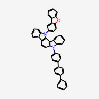 c1ccc(-c2ccc(-c3ccc(-n4c5ccccc5c5c4ccc4c6ccccc6n(-c6ccc7oc8ccccc8c7c6)c45)cc3)cc2)cc1